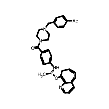 CC(=O)c1ccc(CN2CCN(C(=O)c3ccc(NP(C)OC4=c5ncccc5=CC=CC4)cc3)CC2)cc1